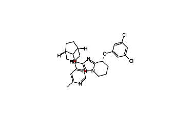 Cc1cc(N2C[C@H]3CC[C@@H](C2)C3Nc2nc3n(n2)CCC[C@H]3Oc2cc(Cl)cc(Cl)c2)ncn1